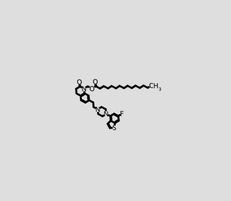 CCCCCCCCCCCCCCC(=O)OCN1C(=O)CCc2ccc(CCN3CCN(c4cc(F)cc5sccc45)CC3)cc21